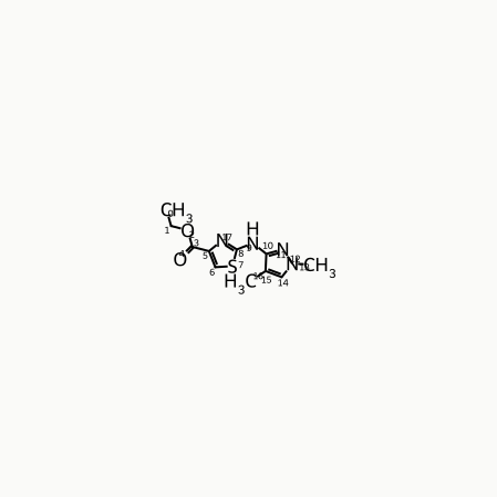 CCOC(=O)c1csc(Nc2nn(C)cc2C)n1